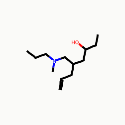 C=CCC(CC(O)CC)CN(C)CCC